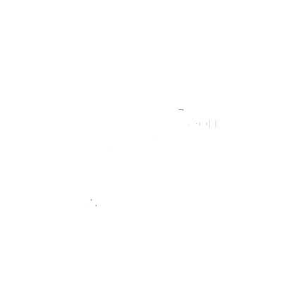 N#Cc1ccc(-c2ccc([C@@H]3C[C@H]3CCO)cc2)cc1